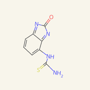 NC(=S)Nc1cccc2c1=NC(=O)N=2